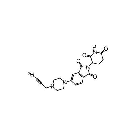 [2H]C#CCN1CCN(c2ccc3c(c2)C(=O)N(C2CCC(=O)NC2=O)C3=O)CC1